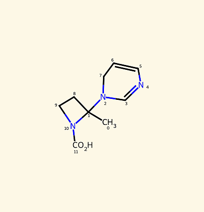 CC1(N2C=NC=CC2)CCN1C(=O)O